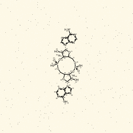 Nc1ncnc2c1ncn2[C@@H]1OC2COP(=O)(S)O[C@@H]3C(COP(=O)(S)O[C@H]2[C@H]1O)O[C@@H](n1cnc2c(N)ncnc21)[C@@H]3O